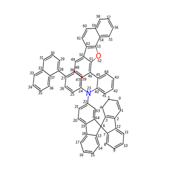 C1=CC2=C(CC1)C1(c3ccccc32)c2ccccc2-c2ccc(N(c3ccc(-c4cccc5ccccc45)cc3)c3ccccc3-c3cccc4c3oc3c5ccccc5ccc43)cc21